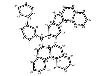 c1ccc(-c2cccc(N(c3ccc4c(c3)sc3ccc5ccccc5c34)c3cc4ccccc4c4c3ccc3ccccc34)c2)cc1